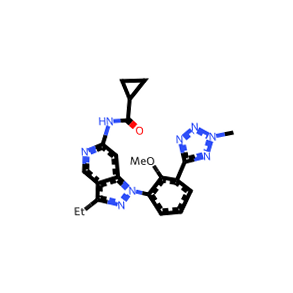 CCc1nn(-c2cccc(-c3nnn(C)n3)c2OC)c2cc(NC(=O)C3CC3)ncc12